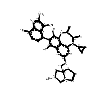 CC1Oc2c(Cl)c(-c3ccc(F)c4sc(N)c(C#N)c34)c(F)c3nc(OC[C@@]45CCCN4C[C@H](F)C5)nc(c23)N(C2CC2)C1C